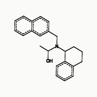 CC(O)N(Cc1ccc2ccccc2c1)C1CCCc2ccccc21